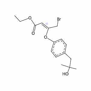 CCOC(=O)/C=C(/CBr)Oc1ccc(CC(C)(C)O)cc1